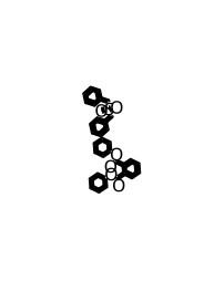 O=C(OC1CCCCC1)c1ccccc1C(=O)OC1CCCCC1.O=S(=O)(Cc1ccccc1)Cc1ccccc1